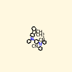 CC1(C)c2ccccc2-c2ccc(N(c3ccccc3)c3cc(C#N)c(N(c4ccccc4)c4ccccc4)c(C#N)c3)cc21